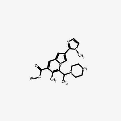 Cc1c(C(=O)OC(C)C)cc2cc(-c3nccn3C)cn2c1C(C)N1CCNCC1